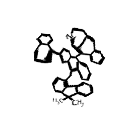 CC1(C)c2ccccc2-c2c(-c3c4ccccc4c(-c4c5ccccc5cc5ccncc45)c4ccc(-c5cccc6ccccc56)cc34)cccc21